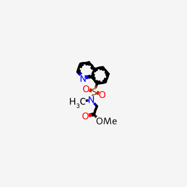 COC(=O)CN(C)S(=O)(=O)c1cccc2cccnc12